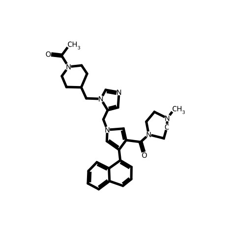 CC(=O)N1CCC(Cn2cncc2Cn2cc(C(=O)N3CCN(C)CC3)c(-c3cccc4ccccc34)c2)CC1